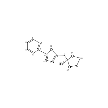 CC(C)C1(Cc2nnc(-c3ccccc3)o2)OCCO1